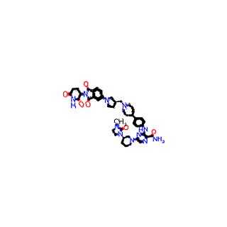 CN1CCN([C@@H]2CCCN(c3cnc(C(N)=O)c(Nc4ccc(C5CCN(C[C@H]6CCN(c7ccc8c(c7)C(=O)N(C7CCC(=O)NC7=O)C8=O)C6)CC5)cc4)n3)C2)C1=O